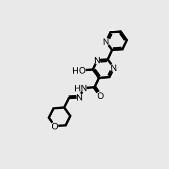 O=C(NN=CC1CCOCC1)c1cnc(-c2ccccn2)nc1O